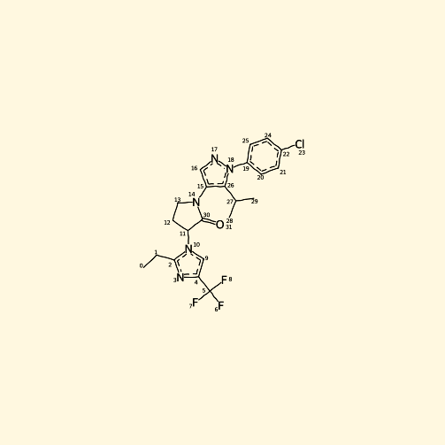 CCc1nc(C(F)(F)F)cn1C1CCN(c2cnn(-c3ccc(Cl)cc3)c2C(C)C)C1=O